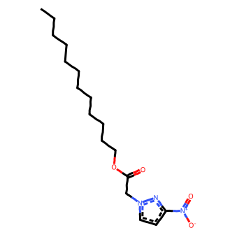 CCCCCCCCCCCCOC(=O)Cn1ccc([N+](=O)[O-])n1